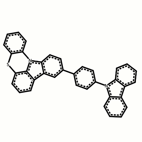 c1ccc2c(c1)Sc1cccc3c4cc(-c5ccc(-n6c7ccccc7c7ccccc76)cc5)ccc4n-2c13